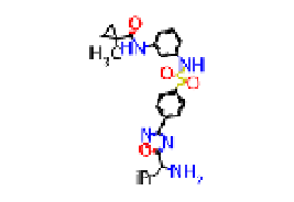 CC(C)[C@H](N)c1nc(-c2ccc(S(=O)(=O)Nc3cccc(NC(=O)C4(C)CC4)c3)cc2)no1